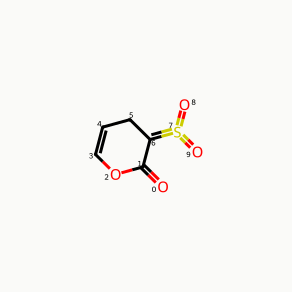 O=C1OC=CCC1=S(=O)=O